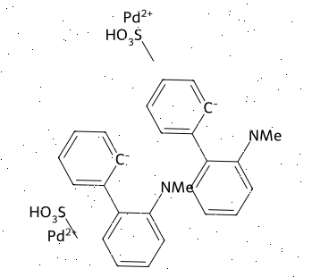 CS(=O)(=O)O.CS(=O)(=O)O.C[N-]c1ccccc1-c1[c-]cccc1.C[N-]c1ccccc1-c1[c-]cccc1.[Pd+2].[Pd+2]